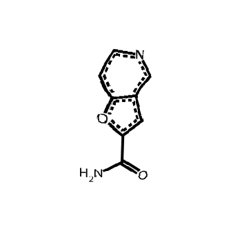 NC(=O)c1cc2cnccc2o1